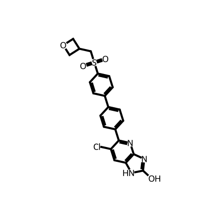 O=S(=O)(CC1COC1)c1ccc(-c2ccc(-c3nc4nc(O)[nH]c4cc3Cl)cc2)cc1